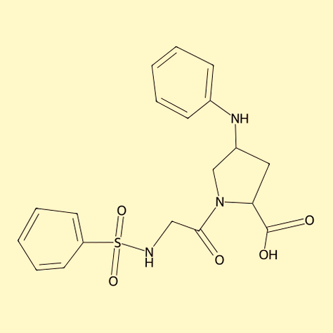 O=C(O)C1CC(Nc2ccccc2)CN1C(=O)CNS(=O)(=O)c1ccccc1